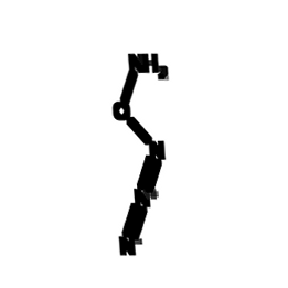 [N-]=[N+]=NON